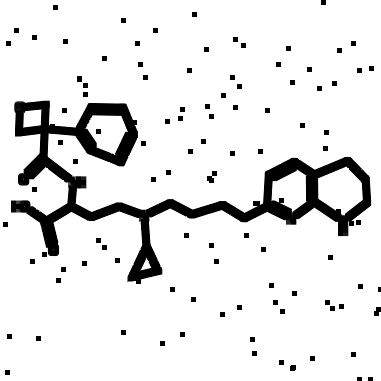 O=C(O)C(CCN(CCCCc1ccc2c(n1)NCCC2)C1CC1)NC(=O)C1(c2ccccc2)COC1